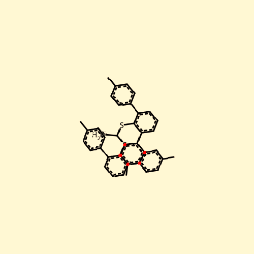 Cc1ccc(-c2cccc(-c3ccc(C)cc3)c2S[CH]([BiH2])Sc2c(-c3ccc(C)cc3)cccc2-c2ccc(C)cc2)cc1